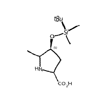 CC1NC(C(=O)O)C[C@@H]1O[Si](C)(C)C(C)(C)C